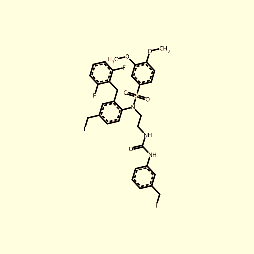 COc1ccc(S(=O)(=O)N(CCNC(=O)Nc2cccc(CI)c2)c2ccc(CI)cc2Cc2c(F)cccc2F)cc1OC